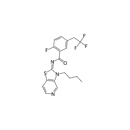 CCCCn1c(=NC(=O)c2cc(CC(F)(F)F)ccc2F)sc2ccncc21